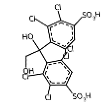 O=S(=O)(O)c1cc(Cl)c(C(O)(CO)c2c(Cl)cc(S(=O)(=O)O)c(Cl)c2Cl)c(Cl)c1Cl